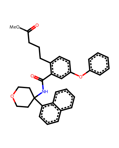 COC(=O)CCCc1ccc(Oc2ccccc2)cc1C(=O)NC1(c2cccc3ccccc23)CCOCC1